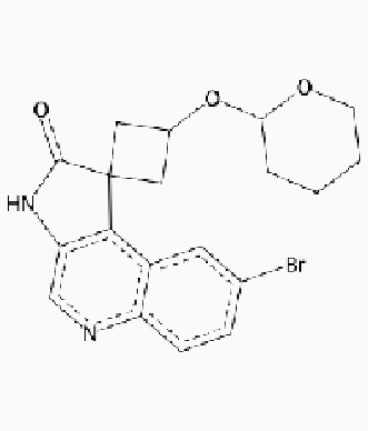 O=C1Nc2cnc3ccc(Br)cc3c2C12CC(OC1CCCCO1)C2